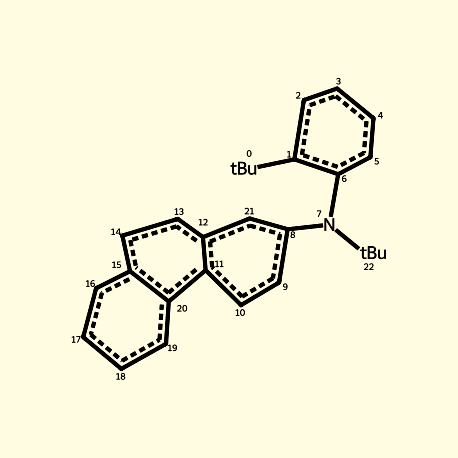 CC(C)(C)c1ccccc1N(c1ccc2c(ccc3ccccc32)c1)C(C)(C)C